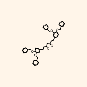 O=C(C=Cc1ccc(OCc2ccccc2)c(OCc2ccccc2)c1)CC(=O)C=Cc1ccc(OCc2ccccc2)c(OCc2ccccc2)c1